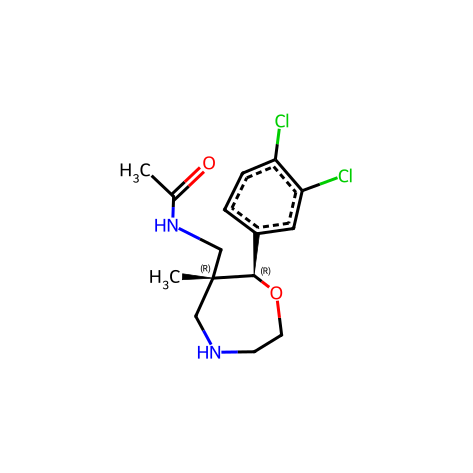 CC(=O)NC[C@@]1(C)CNCCO[C@@H]1c1ccc(Cl)c(Cl)c1